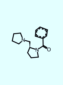 O=C(c1ccccc1)N1CCC[C@H]1CN1CCCC1